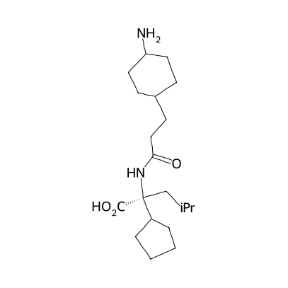 CC(C)C[C@@](NC(=O)CCC1CCC(N)CC1)(C(=O)O)C1CCCC1